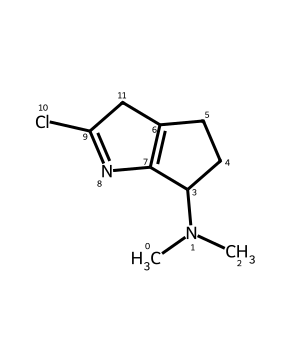 CN(C)C1CCC2=C1N=C(Cl)C2